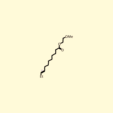 CC/C=C/CCCCCCCC(=O)OCCOC